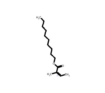 C/C=C(/C)C(=O)OCCCCCCCCCC